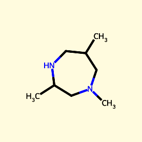 CC1CNC(C)CN(C)C1